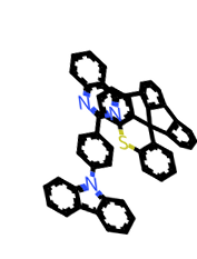 c1ccc2c(c1)Sc1ccccc1C21c2ccccc2-c2cccc(-c3nc(-c4ccc(-n5c6ccccc6c6ccccc65)cc4)nc4ccccc34)c21